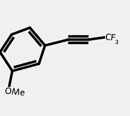 COc1cccc(C#CC(F)(F)F)c1